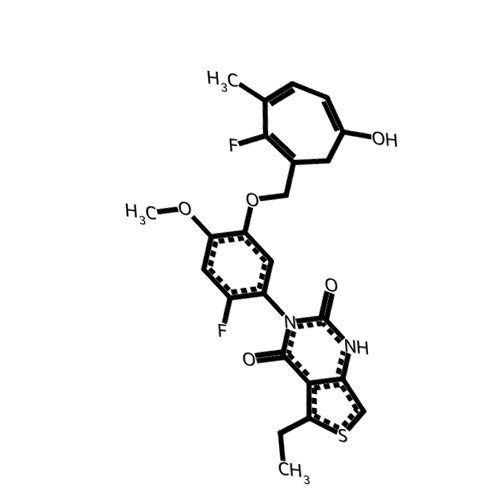 CCc1scc2[nH]c(=O)n(-c3cc(OCC4=C(F)C(C)=CC=C(O)C4)c(OC)cc3F)c(=O)c12